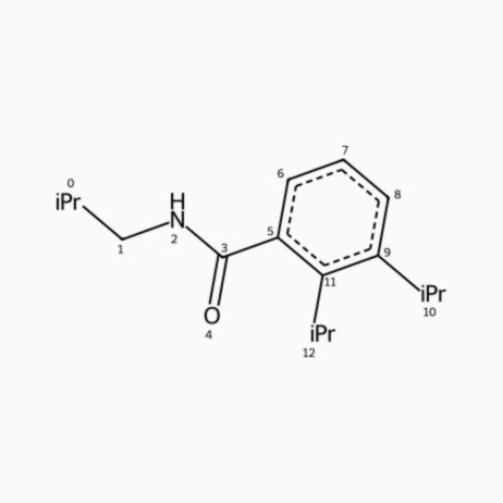 CC(C)CNC(=O)c1cccc(C(C)C)c1C(C)C